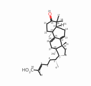 C/C(=C\CC[C@@H](C)[C@H]1CC[C@@]2(C)C3=CC[C@H]4C(C)(C)C(=O)CC[C@]4(C)C3=CC[C@]12C)C(=O)O